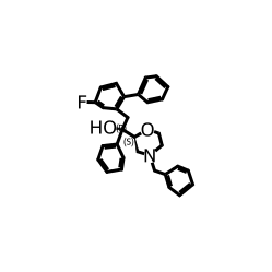 O[C@](Cc1cc(F)ccc1-c1ccccc1)(c1ccccc1)[C@@H]1CN(Cc2ccccc2)CCO1